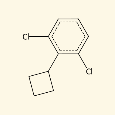 Clc1cccc(Cl)c1C1CCC1